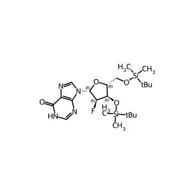 CC(C)(C)[Si](C)(C)OC[C@H]1O[C@@H](n2cnc3c(=O)[nH]cnc32)[C@H](F)[C@@H]1O[Si](C)(C)C(C)(C)C